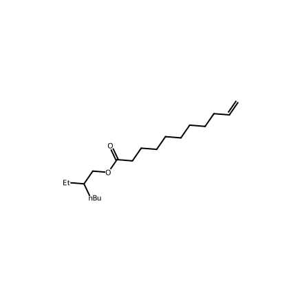 C=CCCCCCCCCC(=O)OCC(CC)CCCC